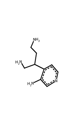 NCCC(CN)c1ccncc1N